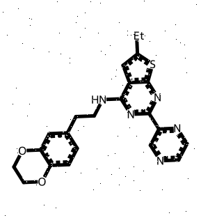 CCc1cc2c(NCCc3ccc4c(c3)OCCO4)nc(-c3cnccn3)nc2s1